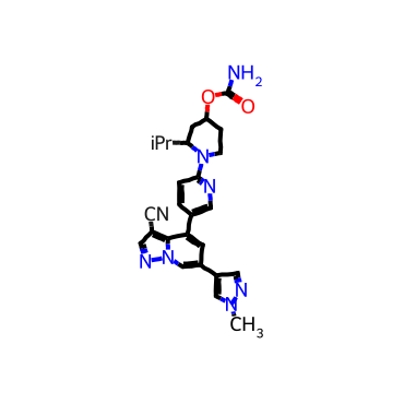 CC(C)C1CC(OC(N)=O)CCN1c1ccc(-c2cc(-c3cnn(C)c3)cn3ncc(C#N)c23)cn1